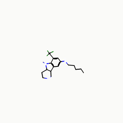 CCCCCNc1cc2c(c(C(F)(F)F)c1)N(C)C1CCNCC21